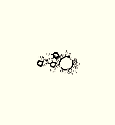 CC[C@H]1OC(=O)[C@H](C)[C@@H](O)[C@H](C)[C@@H](O[C@@H]2O[C@H](C)C[C@H](N(C)C(=O)N(C)c3ccccc3)[C@H]2Oc2cc(Cl)ccc2C(F)(F)F)[C@](C)(O)C[C@@H](C)CN(C)[C@H](C)[C@@H](O)[C@]1(C)O